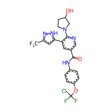 O=C(Nc1ccc(OC(F)(F)Cl)cc1)c1cnc(N2CCC(O)C2)c(-c2cc(C(F)(F)F)n[nH]2)c1